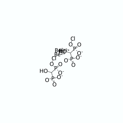 O=P([O-])([O-])C(O)P(=O)([O-])OCl.O=P([O-])([O-])C(O)P(=O)([O-])OCl.[Be+2].[Be+2].[Be+2]